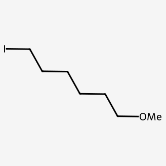 COCCCCCCI